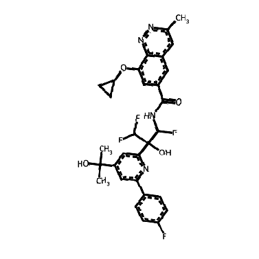 Cc1cc2cc(C(=O)NC(F)C(O)(c3cc(C(C)(C)O)cc(-c4ccc(F)cc4)n3)C(F)F)cc(OC3CC3)c2nn1